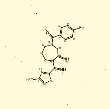 Cc1nsc(C(=N)N2CCCN(C(=O)c3ccc(F)cc3)CC2=N)n1